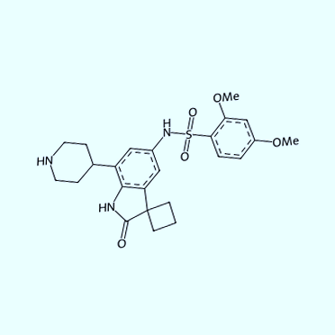 COc1ccc(S(=O)(=O)Nc2cc(C3CCNCC3)c3c(c2)C2(CCC2)C(=O)N3)c(OC)c1